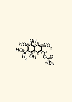 CC(C)(C)C(=O)OCc1cc2c(O)c([SiH2]O)c(O)c(O)c2cc1[N+](=O)[O-]